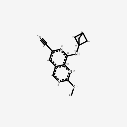 CSc1ncc2cc(C#N)nc(NC34CC(C3)C4)c2n1